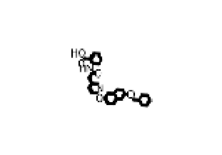 O=C(Cc1ccc(Oc2ccc3cc(OCc4ccccc4)ccc3c2)nc1)Nc1ccccc1C(=O)O